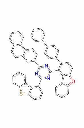 c1ccc(-c2ccc(-c3ccc4oc5ccccc5c4c3-c3nc(-c4ccc5c(ccc6ccccc65)c4)nc(-c4cccc5sc6ccccc6c45)n3)cc2)cc1